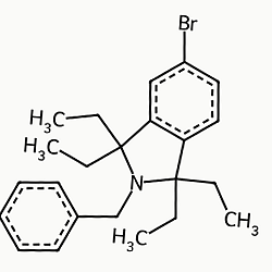 CCC1(CC)c2ccc(Br)cc2C(CC)(CC)N1Cc1ccccc1